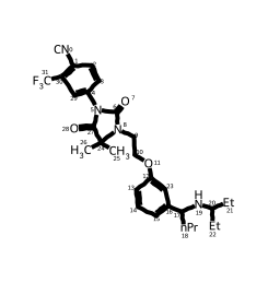 [C-]#[N+]c1ccc(N2C(=O)N(CCOc3cccc(C(CCC)NC(CC)CC)c3)C(C)(C)C2=O)cc1C(F)(F)F